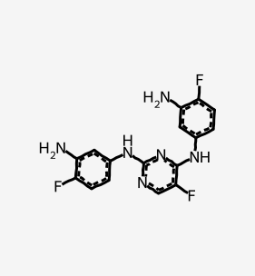 Nc1cc(Nc2ncc(F)c(Nc3ccc(F)c(N)c3)n2)ccc1F